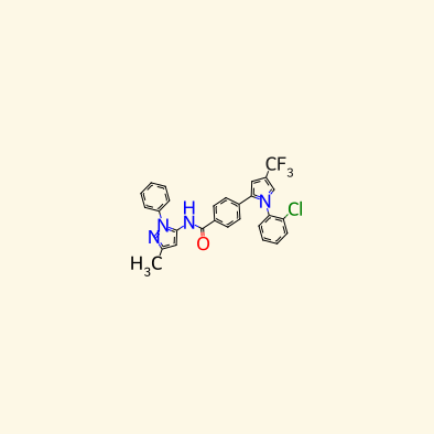 Cc1cc(NC(=O)c2ccc(-c3cc(C(F)(F)F)cn3-c3ccccc3Cl)cc2)n(-c2ccccc2)n1